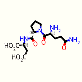 NC(=O)CC[C@H](N)C(=O)N1CCC[C@H]1C(=O)N[C@@H](CC(=O)O)C(=O)O